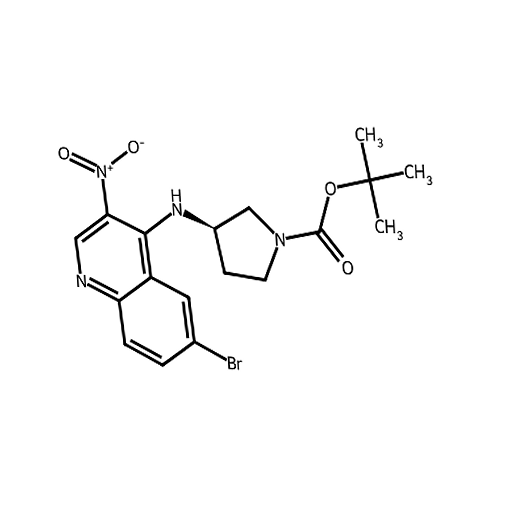 CC(C)(C)OC(=O)N1CC[C@@H](Nc2c([N+](=O)[O-])cnc3ccc(Br)cc23)C1